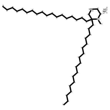 CCCCCCCCCCCCCCCCCCC1(CCCCCCCCCCCCCCCCCC)CNCCN1C.Cl.N